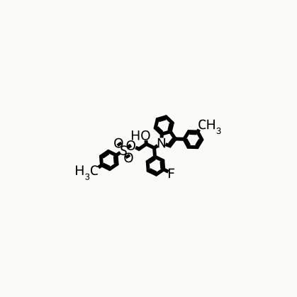 Cc1ccc(S(=O)(=O)OCC(O)C(c2cccc(F)c2)n2cc(-c3cccc(C)c3)c3ccccc32)cc1